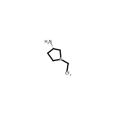 N[C@H]1CCN(CC(F)(F)F)C1